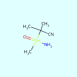 CC(C)(C#N)[SH](C)(N)=O